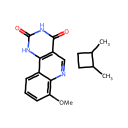 CC1CCC1C.COc1cccc2c1ncc1c(=O)[nH]c(=O)[nH]c12